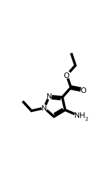 CCOC(=O)c1nn(CC)cc1N